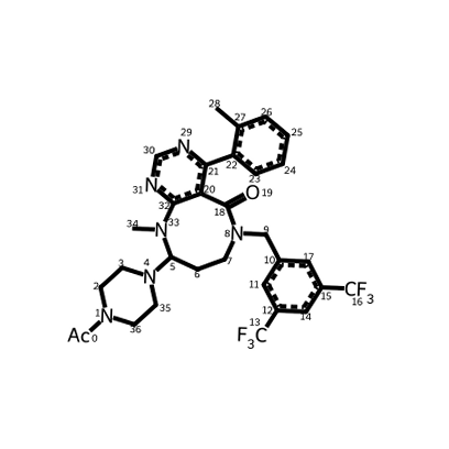 CC(=O)N1CCN(C2CCN(Cc3cc(C(F)(F)F)cc(C(F)(F)F)c3)C(=O)c3c(-c4ccccc4C)ncnc3N2C)CC1